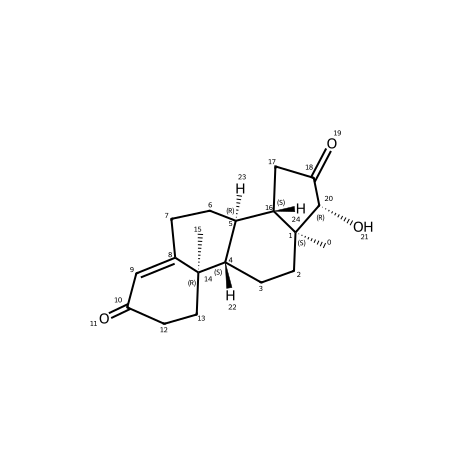 C[C@]12CC[C@H]3[C@@H](CCC4=CC(=O)CC[C@@]43C)[C@@H]1CC(=O)[C@@H]2O